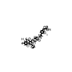 COC(=O)C1=C(CN2CCN3C(=O)N(c4nc(-c5ccc(CC(C)(C)C(=O)O)cc5)cs4)C[C@@H]3C2)NC(c2nccs2)=N[C@H]1c1ccc(F)cc1Cl